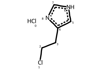 Cl.ClCCc1c[nH]cn1